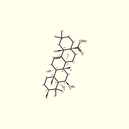 COC(=O)[C@]12CCC(C)(C)C[C@H]1C1=CC[C@@H]3[C@@]4(C)CC[C@H](C)C(C)(C)[C@@H]4[C@H](OC(C)=O)C[C@@]3(C)[C@]1(C)CC2